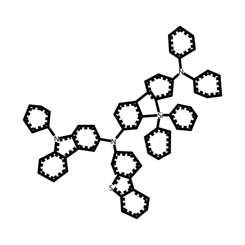 c1ccc(N(c2ccccc2)c2ccc3c(c2)[Si](c2ccccc2)(c2ccccc2)c2cc(N(c4ccc5c(c4)sc4ccccc45)c4ccc5c(c4)c4ccccc4n5-c4ccccc4)ccc2-3)cc1